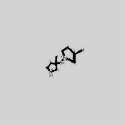 C[C@@H]1CCN(SC2(C)CCNC2)C1